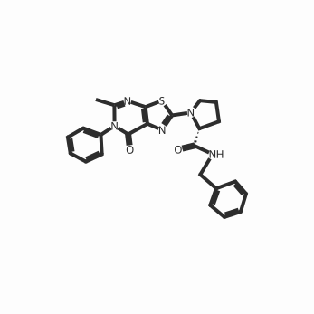 Cc1nc2sc(N3CCC[C@@H]3C(=O)NCc3ccccc3)nc2c(=O)n1-c1ccccc1